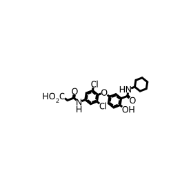 O=C(O)CC(=O)Nc1cc(Cl)c(Oc2ccc(O)c(C(=O)NC3CCCCC3)c2)c(Cl)c1